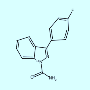 NC(=O)[14n]1nc(-c2ccc(F)cc2)c2c[c]ccc21